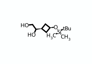 CC(C)(C)[Si](C)(C)O[C@H]1C[C@@H](C(O)CO)C1